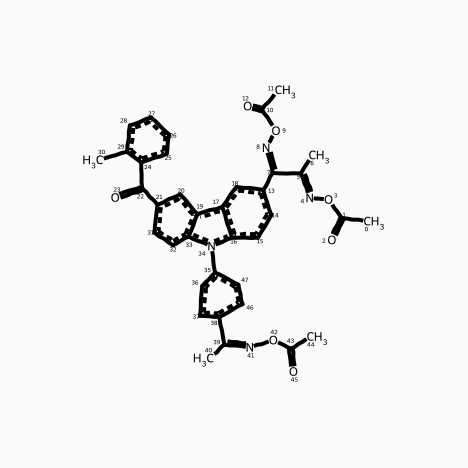 CC(=O)ON=C(C)C(=NOC(C)=O)c1ccc2c(c1)c1cc(C(=O)c3ccccc3C)ccc1n2-c1ccc(/C(C)=N\OC(C)=O)cc1